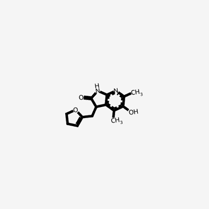 Cc1nc2c(c(C)c1O)C(CC1=CCCO1)C(=O)N2